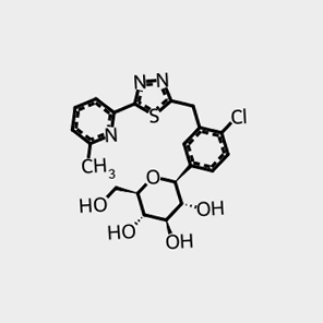 Cc1cccc(-c2nnc(Cc3cc([C@@H]4O[C@H](CO)[C@@H](O)[C@H](O)[C@H]4O)ccc3Cl)s2)n1